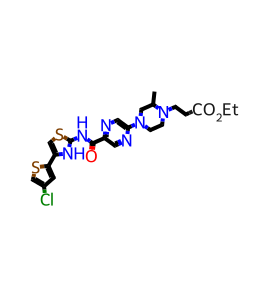 CCOC(=O)CCN1CCN(c2cnc(C(=O)NC3NC(c4cc(Cl)cs4)=CS3)cn2)CC1C